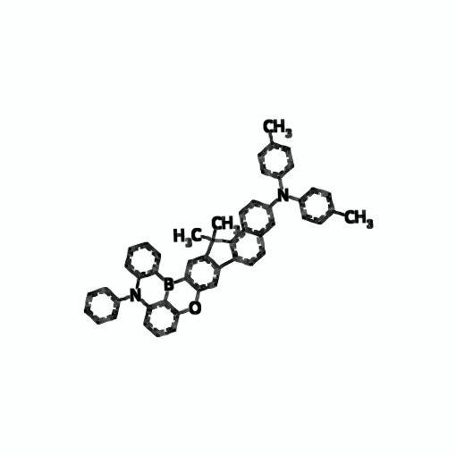 Cc1ccc(N(c2ccc(C)cc2)c2ccc3c4c(ccc3c2)-c2cc3c(cc2C4(C)C)B2c4ccccc4N(c4ccccc4)c4cccc(c42)O3)cc1